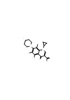 Cc1c(N2CC[C@@H](N)[C@@H](C)C2)c(F)c(N)c2c(=O)c(C(=O)O)cn(C3CC3)c12